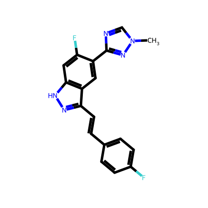 Cn1cnc(-c2cc3c(C=Cc4ccc(F)cc4)n[nH]c3cc2F)n1